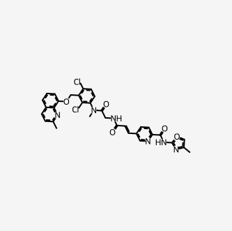 Cc1coc(NC(=O)c2ccc(/C=C/C(=O)NCC(=O)N(C)c3ccc(Cl)c(COc4cccc5ccc(C)nc45)c3Cl)cn2)n1